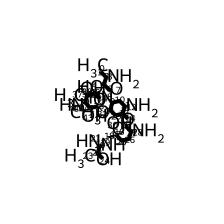 CC[C@@H](N)[C@H](O)C(=O)N[C@@H]1C[C@H](N)C(O[C@H]2O[C@H](CNC(=N)C(C)O)CCC2N)C(O)C1O[C@H]1OCC(C)(O)[C@H](NC)C1O